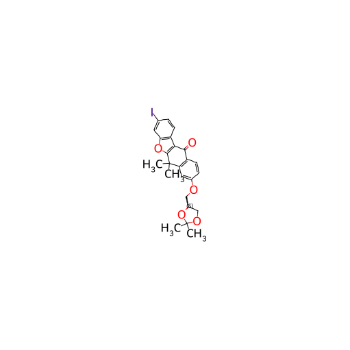 CC1(C)OC[C@H](COc2ccc3c(c2)C(C)(C)c2oc4cc(I)ccc4c2C3=O)O1